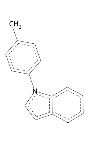 Cc1ccc(-n2ccc3ccccc32)cc1